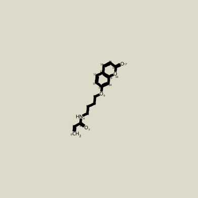 C=CC(=O)NCCCCOc1ccc2ccc(=O)oc2c1